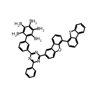 Bc1c(B)c(B)c(-c2cccc(-c3nc(-c4ccccc4)nc(-c4ccc5oc6c(-c7cccc8c7sc7ccccc78)cccc6c5c4)n3)c2)c(B)c1B